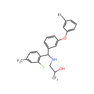 CCc1cccc(Oc2cccc(C(NCC(O)C(F)(F)F)c3ccc(C(F)(F)F)cc3F)c2)c1